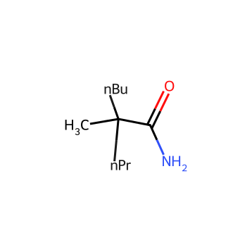 CCCCC(C)(CCC)C(N)=O